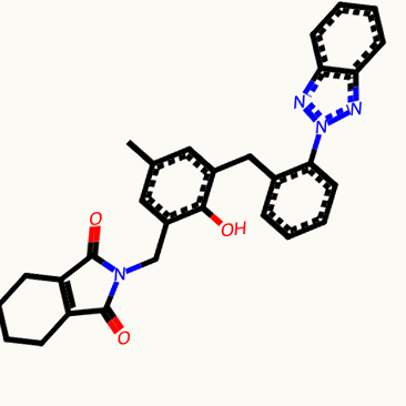 Cc1cc(Cc2ccccc2-n2nc3ccccc3n2)c(O)c(CN2C(=O)C3=C(CCCC3)C2=O)c1